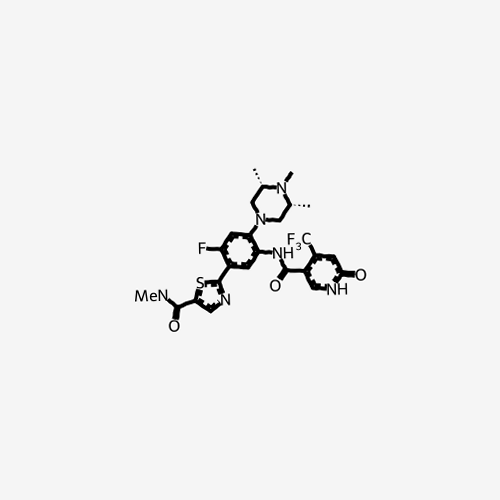 CNC(=O)c1cnc(-c2cc(NC(=O)c3c[nH]c(=O)cc3C(F)(F)F)c(N3C[C@@H](C)N(C)[C@@H](C)C3)cc2F)s1